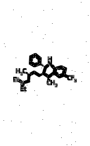 CCN(CC)C[C@H](C)CC[C@@H]1C(C)c2cc(C(F)(F)F)ccc2N[C@H]1c1ccccc1